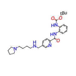 CC(C)(C)OC(=O)Nc1ccccc1NC(=O)c1ccc(CNCCCCN2CCCC2)cn1